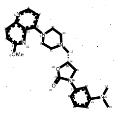 COc1ccc2nccc(N3CCN(C[C@@H]4CN(c5cccc(N(C)C)c5)C(=O)O4)CC3)c2n1